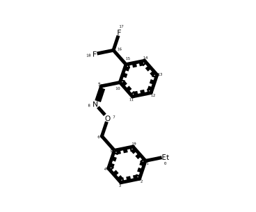 CCc1cccc(CO/N=[C]\c2ccccc2C(F)F)c1